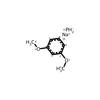 COc1[c]c(OC)ccc1.[Na+].[PH2-]